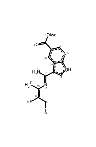 COC(=O)c1cnc2[nH]cc(/C(N)=N/C(N)=C(/F)CI)c2c1